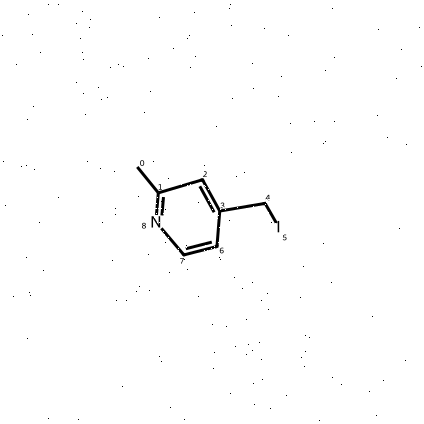 Cc1cc(CI)ccn1